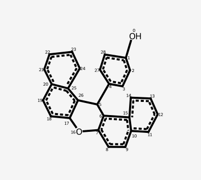 Oc1ccc(C2c3c(ccc4ccccc34)Oc3ccc4ccccc4c32)cc1